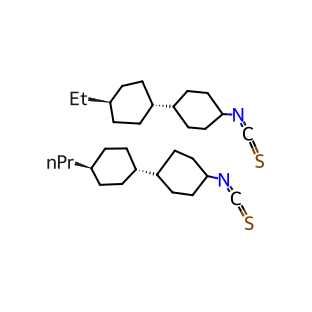 CCC[C@H]1CC[C@H](C2CCC(N=C=S)CC2)CC1.CC[C@H]1CC[C@H](C2CCC(N=C=S)CC2)CC1